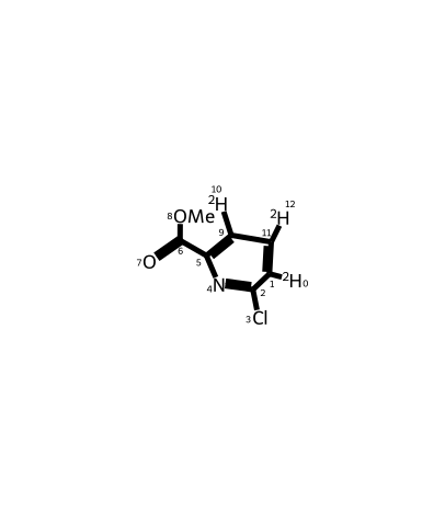 [2H]c1c(Cl)nc(C(=O)OC)c([2H])c1[2H]